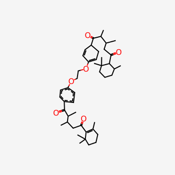 CC1=C(C(=O)CC(C)C(C)C(=O)c2ccc(OCCOC3=CCC(C(=O)C(C)C(C)CC(=O)C4C(C)CCCC4(C)C)C=C3)cc2)C(C)(C)CCC1